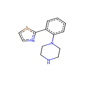 c1ccc(N2CCNCC2)c(-c2nccs2)c1